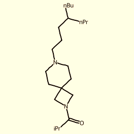 CCCCC(CCC)CCCN1CCC2(CC1)CN(C(=O)C(C)C)C2